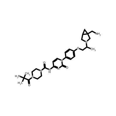 CC(COc1ccc(-n2ccc(NC(=O)N3CCN(C(=O)C(C)(C)N)CC3)nc2=O)cc1)N1CC2CC2(CN)C1